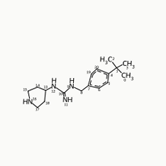 CC(C)(C)c1ccc(CNC(=N)NC2CCNCC2)cc1